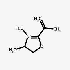 C=C(C)C1=[N+](C)C(C)CO1